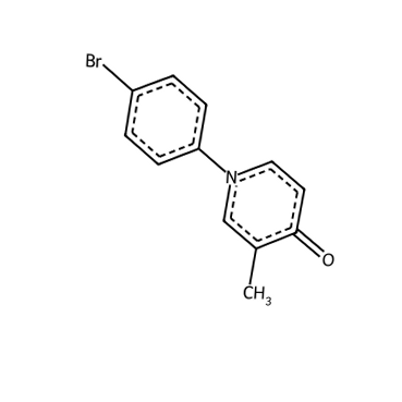 Cc1cn(-c2ccc(Br)cc2)ccc1=O